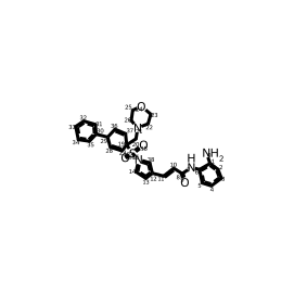 Nc1ccccc1NC(=O)/C=C/c1ccn(S(=O)(=O)C2(CN3CCOCC3)C=CC(c3ccccc3)C=C2)c1